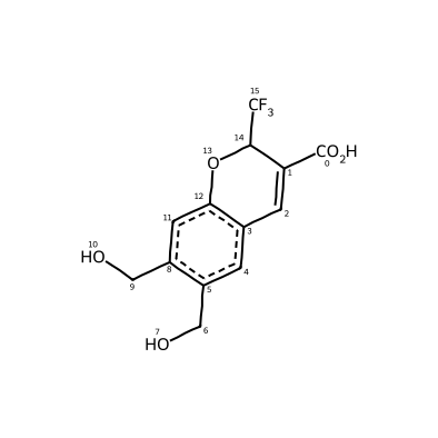 O=C(O)C1=Cc2cc(CO)c(CO)cc2OC1C(F)(F)F